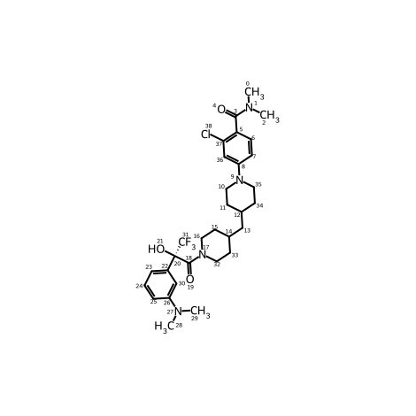 CN(C)C(=O)c1ccc(N2CCC(CC3CCN(C(=O)[C@](O)(c4cccc(N(C)C)c4)C(F)(F)F)CC3)CC2)cc1Cl